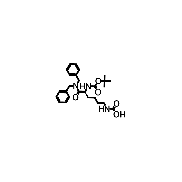 CC(C)(C)OC(=O)N[C@@H](CCCCNC(=O)O)C(=O)N(Cc1ccccc1)Cc1ccccc1